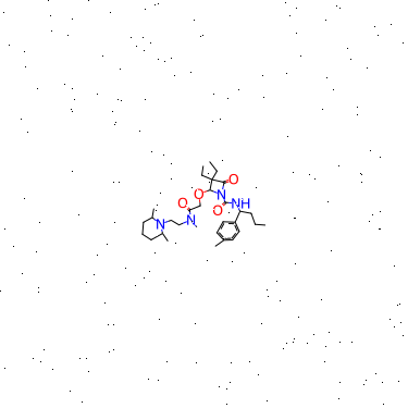 CCCC(NC(=O)N1C(=O)C(CC)(CC)C1OCC(=O)N(C)CCN1C(C)CCCC1C)c1ccc(C)cc1